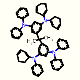 CC(C)(c1cc(N(C2=CCCC=C2)C2=CC=CCC2)cc(N(c2ccccc2)c2ccccc2)c1)c1cc(N(C2=CC=CCC2)c2ccccc2)cc(N(c2ccccc2)c2ccccc2)c1